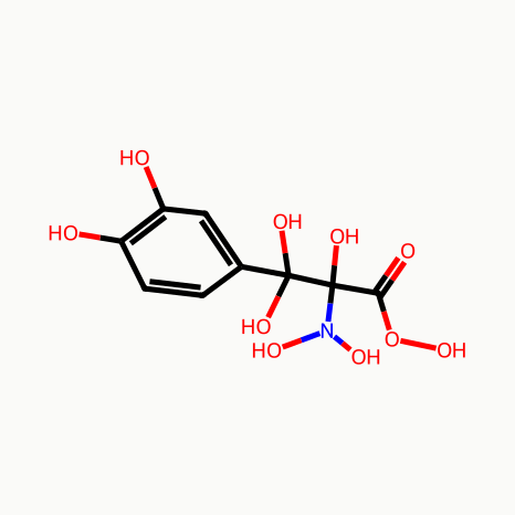 O=C(OO)C(O)(N(O)O)C(O)(O)c1ccc(O)c(O)c1